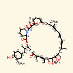 COC1C(=O)[C@H](C)C[C@H](C)/C=C/C=C/C=C(\C)[C@@H](OC)C[C@@H]2CC[C@@H](C)[C@@](O)(O2)C(=O)C(=O)N2CCCCC2C(=O)O[C@H](C(C)C[C@@H]2CC[C@@H](O)[C@H](OC)C2)CC(=O)[C@H](C)/C=C(\C)[C@H]1O